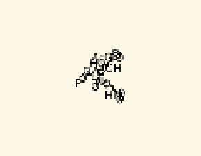 CC(=O)O[C@@H](CCC1C(=O)N(c2ccc(CCCNS(C)(=O)=O)cc2)[C@@H]1c1ccc(C(O)C(O)CCC2(OC(C)=O)COC(C)(C)OC2)cc1)c1ccc(F)cc1